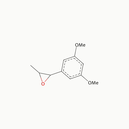 COc1cc(OC)cc(C2OC2C)c1